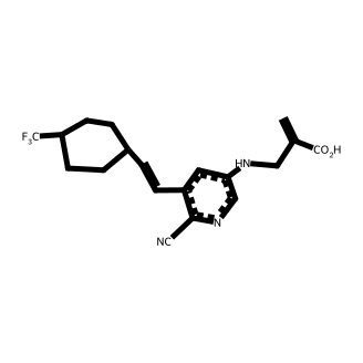 C=C(CNc1cnc(C#N)c(/C=C/C2CCC(C(F)(F)F)CC2)c1)C(=O)O